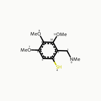 CNCc1c(S)cc(OC)c(OC)c1OC